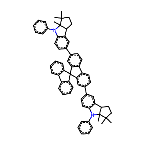 CC1(C)CCC2c3cc(-c4ccc5c(c4)C4(c6ccccc6-c6ccccc64)c4cc(-c6ccc7c(c6)C6CCC(C)(C)C6(C)N7c6ccccc6)ccc4-5)ccc3N(c3ccccc3)C21C